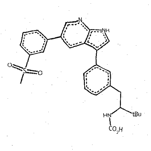 CC(C)(C)C(Cc1cccc(-c2c[nH]c3ncc(-c4cccc(S(C)(=O)=O)c4)cc23)c1)NC(=O)O